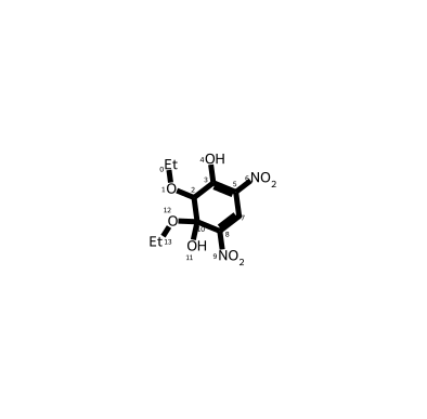 CCOC1C(O)=C([N+](=O)[O-])C=C([N+](=O)[O-])C1(O)OCC